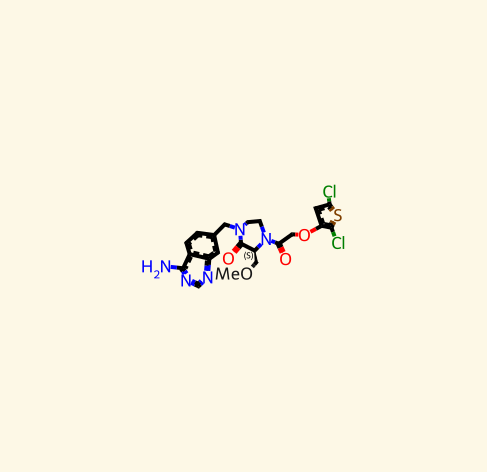 COC[C@H]1C(=O)N(Cc2ccc3c(N)ncnc3c2)CCN1C(=O)COc1cc(Cl)sc1Cl